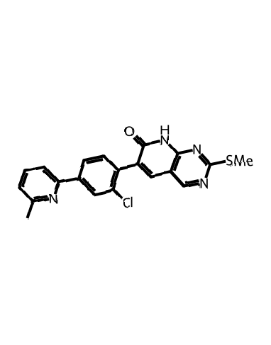 CSc1ncc2cc(-c3ccc(-c4cccc(C)n4)cc3Cl)c(=O)[nH]c2n1